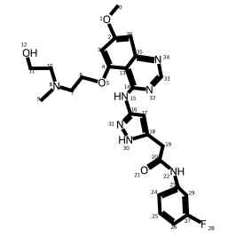 COc1cc(OCCN(C)CCO)c2c(Nc3cc(CC(=O)Nc4cccc(F)c4)[nH]n3)ncnc2c1